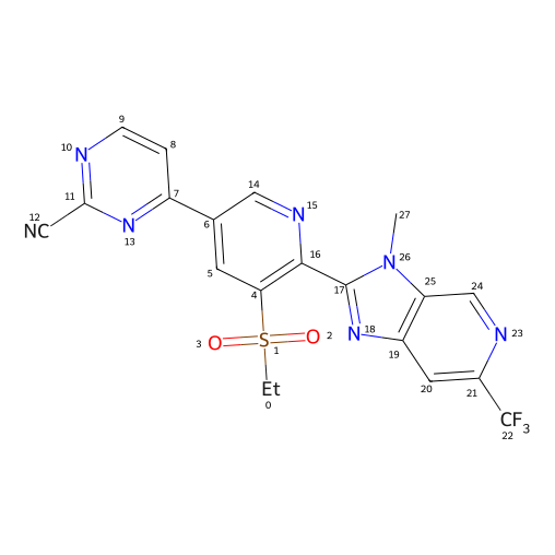 CCS(=O)(=O)c1cc(-c2ccnc(C#N)n2)cnc1-c1nc2cc(C(F)(F)F)ncc2n1C